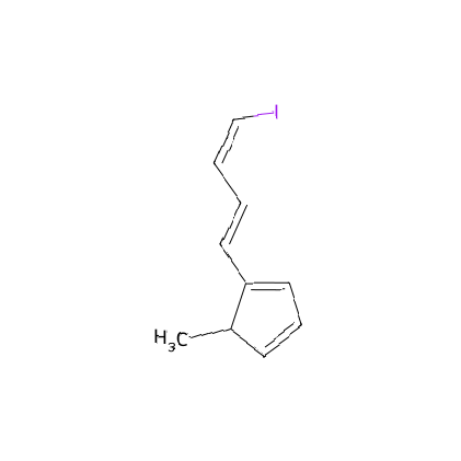 CC1C=CC=C1C=C/C=C\I